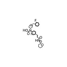 O=C(/C=C/c1ccc(N(C(=O)O)[C@@H]2CCN(Cc3ccccc3F)C2)nc1)NOC1CCCCO1